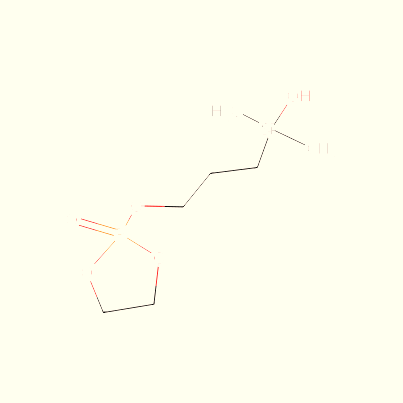 C[Si](C)(O)CCCOP1(=O)OCCO1